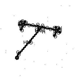 CC(=O)N[C@@H]1C(OCCOCCOCCNC(=O)c2cc(NC(=O)CCCCCCCCCCC(=O)NCCCCCCCCCCCC(=O)OCc3ccccc3)cc(C(=O)NCCOCCOCCOC3O[C@H](COC(C)=O)[C@H](OC(C)=O)[C@H](OC(C)=O)[C@H]3NC(C)=O)c2)O[C@@H](COC(C)=O)[C@@H](OC(C)=O)[C@H]1OC(C)=O